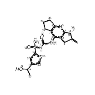 C=C1Cc2c(nc3c(c2NC(=O)N=S(N)(=O)c2cc(C(C)O)cs2)CCC3)[C@@H]1C